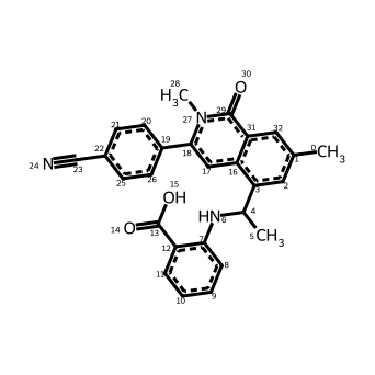 Cc1cc(C(C)Nc2ccccc2C(=O)O)c2cc(-c3ccc(C#N)cc3)n(C)c(=O)c2c1